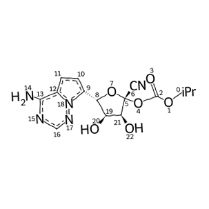 CC(C)OC(=O)O[C@@]1(C#N)O[C@@H](c2ccc3c(N)ncnn23)[C@H](O)[C@@H]1O